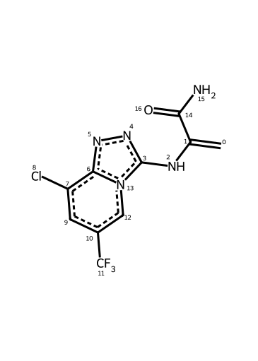 C=C(Nc1nnc2c(Cl)cc(C(F)(F)F)cn12)C(N)=O